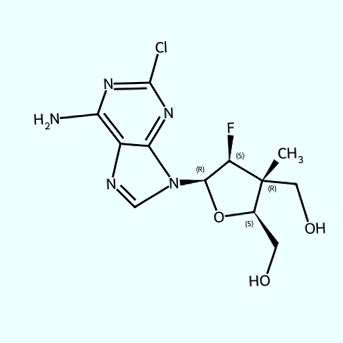 C[C@]1(CO)[C@H](F)[C@H](n2cnc3c(N)nc(Cl)nc32)O[C@@H]1CO